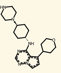 c1nc(N[C@H]2CC[C@H](N3CCNCC3)CC2)c2c(C3CCOCC3)ccn2n1